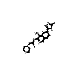 Bc1c(NC(=O)CN2CCOCC2)ncc2ccc(-c3nnc(C)s3)cc12